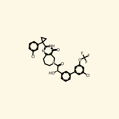 O=C([C@H](O)c1cccc(-c2cc(Cl)cc(OC(F)(F)F)c2)c1)N1CCCc2nc(C3(c4cccc(Cl)c4)CC3)[nH]c(=O)c2C1